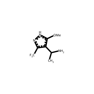 COc1[nH]nc(C(F)(F)F)c1C(C)N